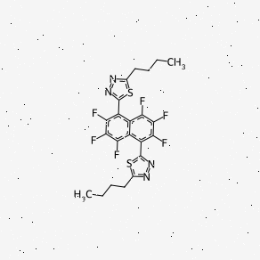 CCCCc1nnc(-c2c(F)c(F)c(F)c3c(-c4nnc(CCCC)s4)c(F)c(F)c(F)c23)s1